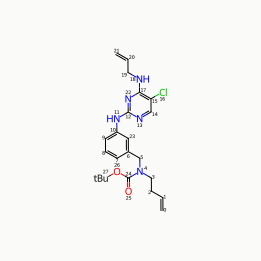 C=CCCN(Cc1cccc(Nc2ncc(Cl)c(NCC=C)n2)c1)C(=O)OC(C)(C)C